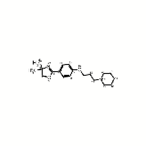 CC1(C)COC(c2ccc(OCCCN3CCCCC3)cc2)=N1